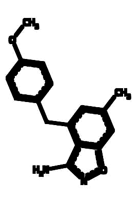 COc1ccc(Cc2cc(C)cc3onc(N)c23)cc1